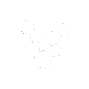 N#Cc1ccccc1-c1ccc2c(n1)N(C(=O)Nc1ccccn1)CCCCN2